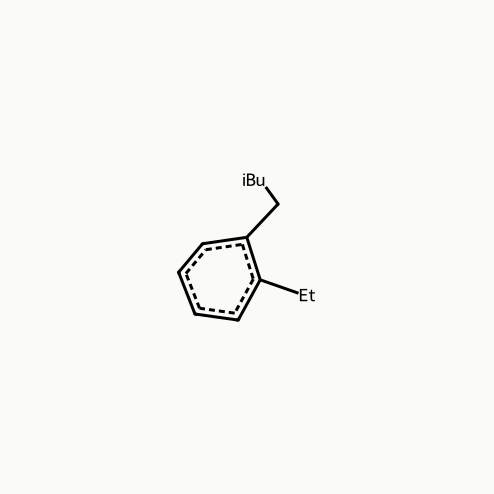 CCc1ccccc1CC(C)CC